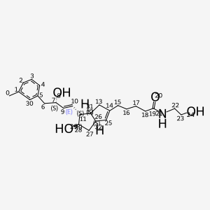 Cc1cccc(C[C@H](O)/C=C/[C@@H]2[C@H]3CC(CCCCC(=O)NCCO)=C[C@H]3C[C@H]2O)c1